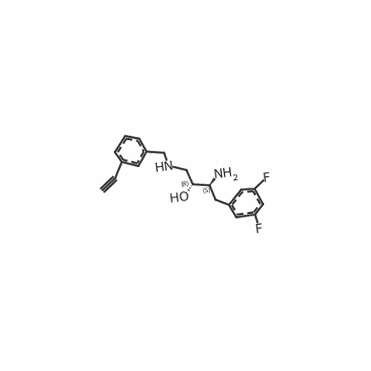 C#Cc1cccc(CNC[C@@H](O)[C@@H](N)Cc2cc(F)cc(F)c2)c1